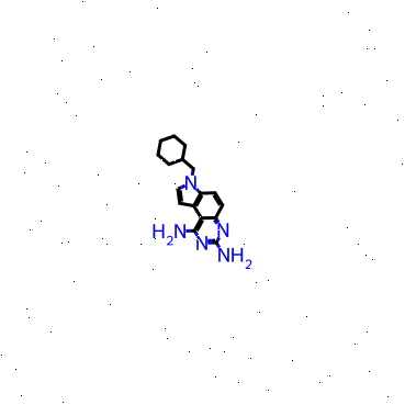 Nc1nc(N)c2c(ccc3c2ccn3CC2CCCCC2)n1